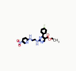 CCOC(=O)c1cnc(NCCNc2ccc([N+](=O)[O-])cn2)nc1-c1ccc(F)cc1